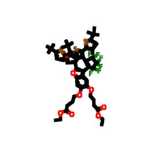 CCOC(=O)CCCOc1cc2oc(-c3ccc(C(C)(C)C)cc3)c(C3=C(c4cc(-c5ccc(C(C)(C)C)s5)sc4-c4sc(C(C)(C)C)cc4C)C(F)(F)C(F)(F)C3(F)F)c2cc1OCCCC(=O)OCC